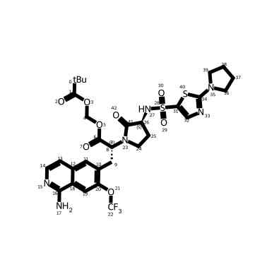 CC(C)(C)C(=O)OCOC(=O)[C@@H](Cc1cc2ccnc(N)c2cc1OC(F)(F)F)N1CC[C@H](NS(=O)(=O)c2cnc(N3CCCC3)s2)C1=O